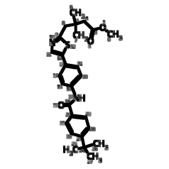 COC(=O)CC(C)(C)Cc1ncc(-c2ccc(NC(=O)c3ccc(C(C)(C)C)cc3)cc2)s1